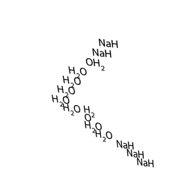 O.O.O.O.O.O.O.O.O.[NaH].[NaH].[NaH].[NaH].[NaH]